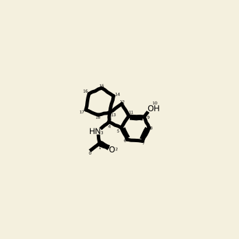 CC(=O)NC1c2cccc(O)c2CC12CCCCC2